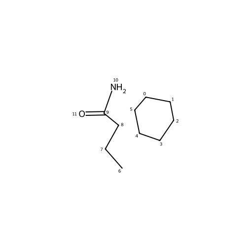 C1CCCCC1.CCCC(N)=O